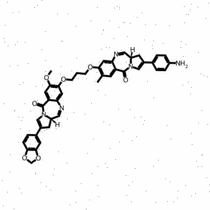 COc1cc2c(cc1OCCCOc1cc3c(cc1C)C(=O)N1C=C(c4ccc(N)cc4)C[C@H]1C=N3)N=C[C@@H]1CC(c3ccc4c(c3)OCO4)=CN1C2=O